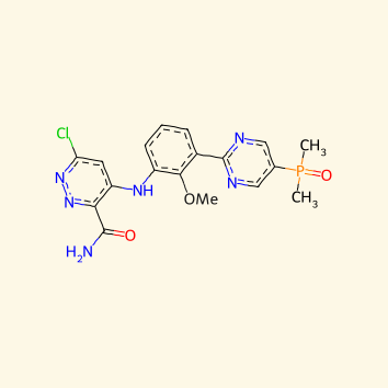 COc1c(Nc2cc(Cl)nnc2C(N)=O)cccc1-c1ncc(P(C)(C)=O)cn1